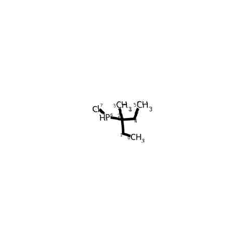 CCC(C)(CC)PCl